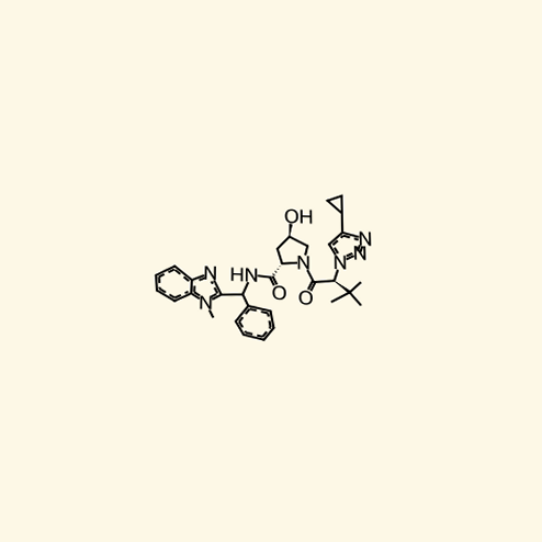 Cn1c(C(NC(=O)[C@@H]2C[C@@H](O)CN2C(=O)[C@@H](n2cc(C3CC3)nn2)C(C)(C)C)c2ccccc2)nc2ccccc21